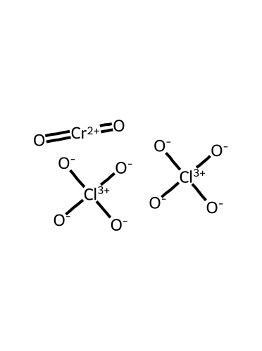 [O-][Cl+3]([O-])([O-])[O-].[O-][Cl+3]([O-])([O-])[O-].[O]=[Cr+2]=[O]